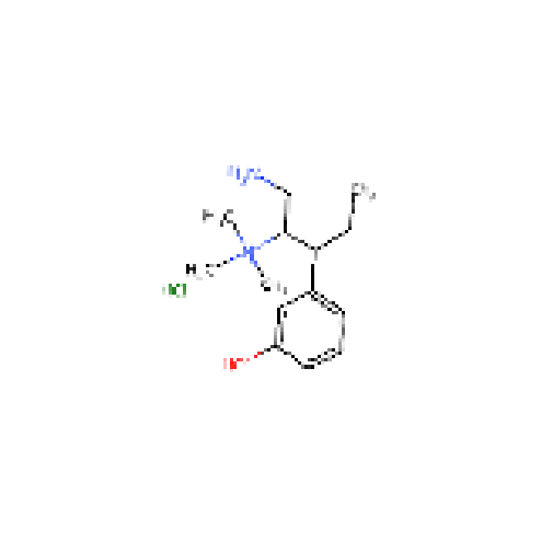 CCC(c1cccc(O)c1)C(CN)[N+](C)(C)C.Cl